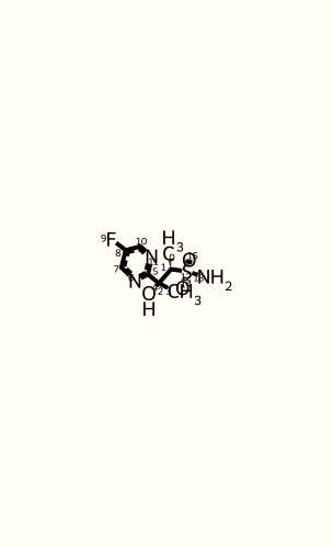 C[C@@H](C(C)(O)c1ncc(F)cn1)S(N)(=O)=O